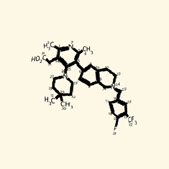 Cc1nc(C)c(-c2ccc3c(c2)CCN(Cc2ccc(F)c(C(F)(F)F)c2)C3)c(N2CCC(C)(C)CC2)c1CC(=O)O